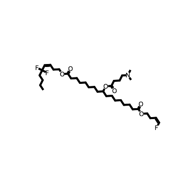 CCCCC(F)(F)/C=C\CCOC(=O)CCCCCCCC(CCCCCCCC(=O)OCC/C=C\F)OC(=O)CCCN(C)C